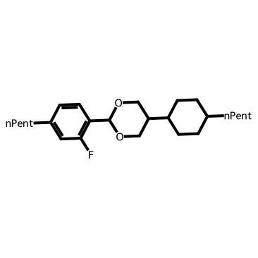 CCCCCc1ccc(C2OCC(C3CCC(CCCCC)CC3)CO2)c(F)c1